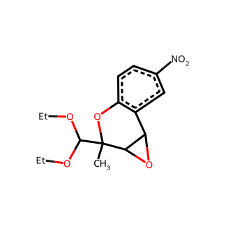 CCOC(OCC)C1(C)Oc2ccc([N+](=O)[O-])cc2C2OC21